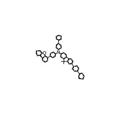 CC1(C)c2cc(-c3ccc(-c4ccccc4)cc3)ccc2-c2ccc(N(c3ccc(-c4ccccc4)cc3)c3ccc(-c4cccc5c4oc4ccccc45)cc3)cc21